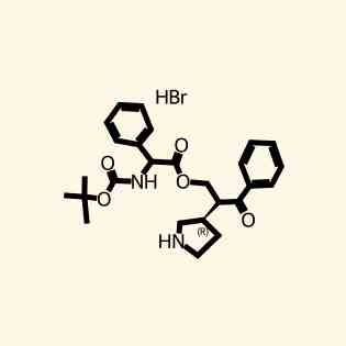 Br.CC(C)(C)OC(=O)NC(C(=O)OCC(C(=O)c1ccccc1)[C@H]1CCNC1)c1ccccc1